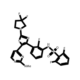 CNc1nccc(-c2sc(N3CCC(F)(F)C3)nc2-c2cccc(NS(=O)(=O)c3c(F)cccc3F)c2F)n1